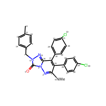 CNc1nn2c(=O)n(Cc3ccc(C)cc3)nc2c(-c2ccc(Cl)cc2)c1-c1ccc(Cl)cc1